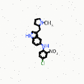 CN1CCCC1Cc1c[nH]c2ccc(Nc3ccc(Cl)cc3[N+](=O)[O-])cc12